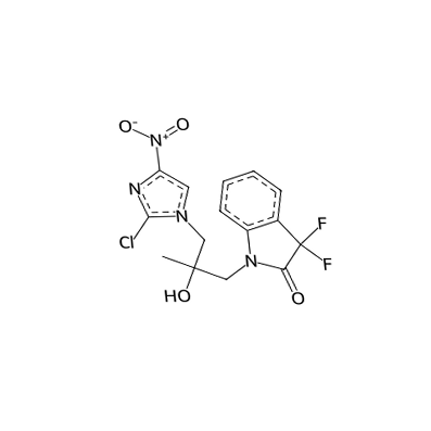 CC(O)(CN1C(=O)C(F)(F)c2ccccc21)Cn1cc([N+](=O)[O-])nc1Cl